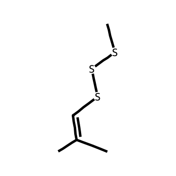 CSSSC=C(C)C